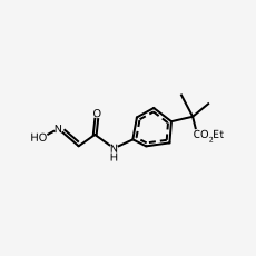 CCOC(=O)C(C)(C)c1ccc(NC(=O)/C=N/O)cc1